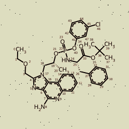 CCOCc1nc2c(N)nc3ccccc3c2n1C[C@@H](C)OP(=O)(N[C@@H](Cc1ccccc1)C(=O)OC(C)(C)C)Oc1cccc(Cl)c1